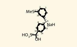 CSc1cccc(Sc2ccc(C(O)S(=O)(=O)O)cc2)c1.[NaH]